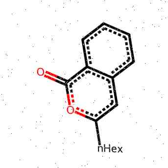 [CH2]CCCCCc1cc2ccccc2c(=O)o1